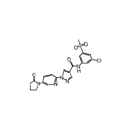 CS(=O)(=O)c1cc(Cl)cc(NC(=O)c2cnn(-c3ccc(N4CCCC4=O)cn3)c2)c1